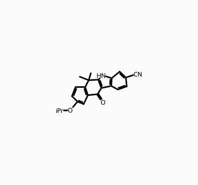 CC(C)Oc1ccc2c(c1)C(=O)c1c([nH]c3cc(C#N)ccc13)C2(C)C